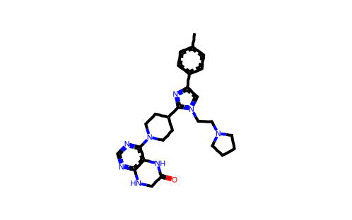 Cc1ccc(-c2cn(CCN3CCCC3)c(C3CCN(c4ncnc5c4NC(=O)CN5)CC3)n2)cc1